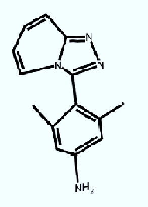 Cc1cc(N)cc(C)c1-c1nnc2ccccn12